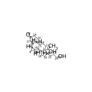 CC[C@]12CC[C@H]3[C@@H]([C@@H]4C[C@@H]4C4=CC(=O)CC[C@@H]43)[C@@H]1CC[C@@]2(O)CCCO